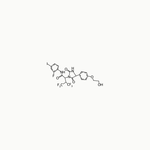 O=C(Nc1ccc(I)cc1F)C(C(C(F)(F)F)C(F)(F)F)N1C(=O)NC(c2ccc(OCCO)cc2)C1=O